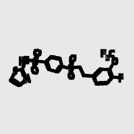 O=S(=O)(CCc1ccc(F)c(OC(F)(F)F)c1)c1ccc(S(=O)(=O)Nc2nccs2)cc1